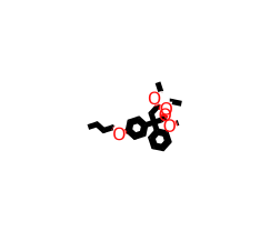 CCCCOc1ccc(C(CC(OCC)OCC)(C(=O)OC)c2ccccc2)cc1